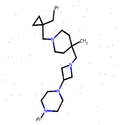 CC(C)CC1(CN2CCC(C)(CN3CC(N4CCN(C(C)C)CC4)C3)CC2)CC1